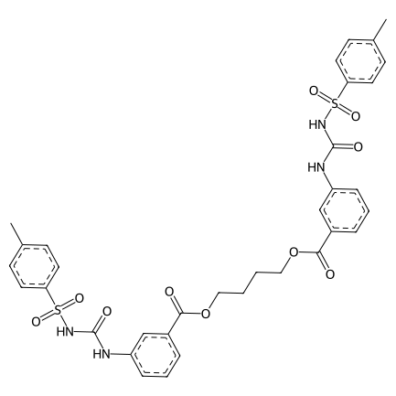 Cc1ccc(S(=O)(=O)NC(=O)Nc2cccc(C(=O)OCCCCOC(=O)c3cccc(NC(=O)NS(=O)(=O)c4ccc(C)cc4)c3)c2)cc1